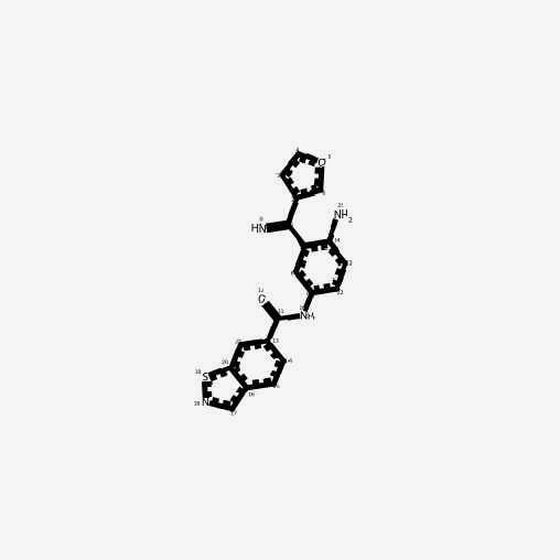 N=C(c1ccoc1)c1cc(NC(=O)c2ccc3cnsc3c2)ccc1N